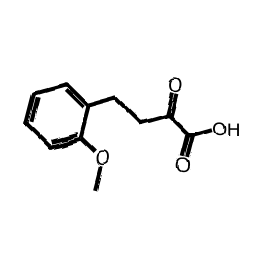 COc1ccccc1CCC(=O)C(=O)O